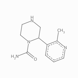 Cc1ncccc1C1CNCCN1C(N)=O